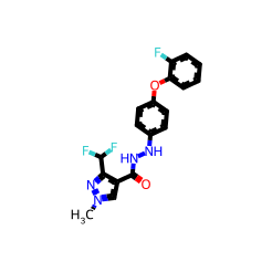 Cn1cc(C(=O)NNc2ccc(Oc3ccccc3F)cc2)c(C(F)F)n1